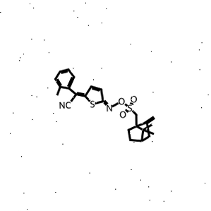 C=C1CC2CCC1(CS(=O)(=O)O/N=C1C=C/C(=C(/C#N)c3ccccc3C)S\1)C2(C)C